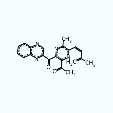 C=C(C)/C=C\c1nc(C(C)=O)c(C(=O)c2cnc3ccccc3n2)nc1C